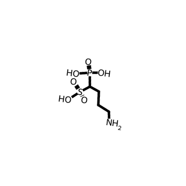 NCCCC(P(=O)(O)O)S(=O)(=O)O